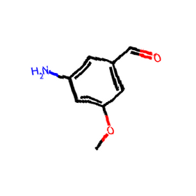 COc1cc(N)cc(C=O)c1